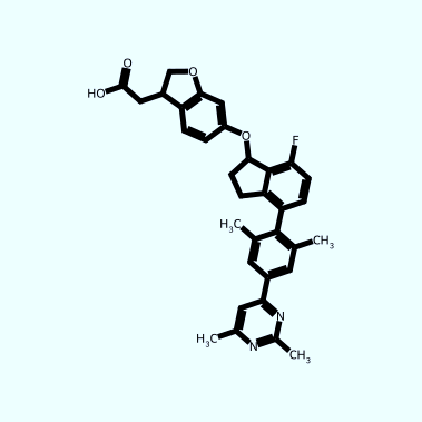 Cc1cc(-c2cc(C)c(-c3ccc(F)c4c3CCC4Oc3ccc4c(c3)OCC4CC(=O)O)c(C)c2)nc(C)n1